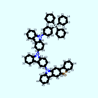 c1ccc([Si](c2ccccc2)(c2ccccc2)c2ccc(-n3c4ccccc4c4cc(-n5c6ccccc6c6cc(-n7c8ccccc8c8cc9sc%10ccccc%10c9cc87)ccc65)ccc43)cc2)cc1